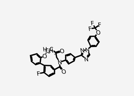 COc1ccccc1-c1cc(C(=O)N(CC(C)=O)c2ccc(-c3ncn(-c4ccc(OC(F)(F)F)cc4)n3)cc2)ccc1F